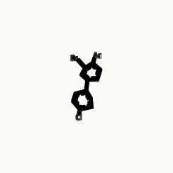 CC(=O)c1ccc(-c2ccc(Cl)cc2)cc1Br